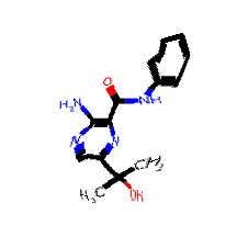 CC(C)(O)c1cnc(N)c(C(=O)Nc2ccccc2)n1